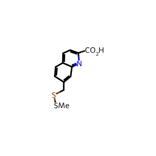 CSSCc1ccc2ccc(C(=O)O)nc2c1